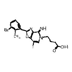 Cc1c(Br)cccc1-c1nc2c(=N)n(CCCC(=O)O)cc(I)c2o1